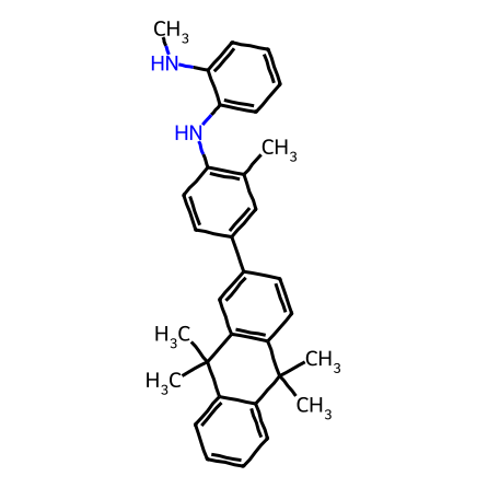 CNc1ccccc1Nc1ccc(-c2ccc3c(c2)C(C)(C)c2ccccc2C3(C)C)cc1C